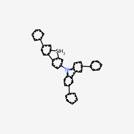 c1ccc(-c2ccc3c(c2)[SiH2]c2cc(-n4c5ccc(-c6ccccc6)cc5c5cc(-c6ccccc6)ccc54)ccc2-3)cc1